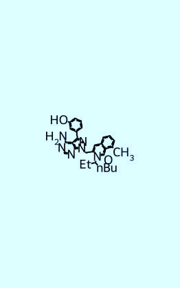 CCCCC(CC)n1c(Cn2nc(-c3cccc(O)c3)c3c(N)ncnc32)cc2cccc(C)c2c1=O